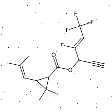 C#CC(OC(=O)C1C(C=C(C)C)C1(C)C)/C(F)=C/C(F)(F)F